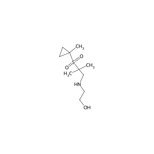 CC(C)(CNCCO)S(=O)(=O)C1(C)CC1